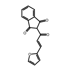 O=C(/C=C/c1ccco1)C1C(=O)c2ccccc2C1=O